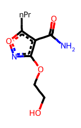 CCCc1onc(OCCO)c1C(N)=O